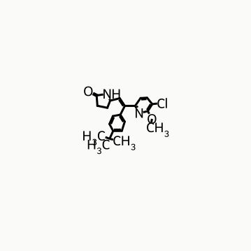 COc1nc(C(=CC2CCC(=O)N2)c2ccc(C(C)(C)C)cc2)ccc1Cl